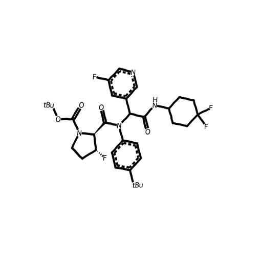 CC(C)(C)OC(=O)N1CC[C@@H](F)[C@@H]1C(=O)N(c1ccc(C(C)(C)C)cc1)C(C(=O)NC1CCC(F)(F)CC1)c1cncc(F)c1